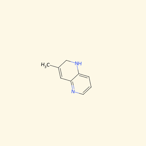 CC1=Cc2ncccc2NC1